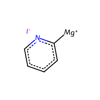 [I-].[Mg+][c]1ccccn1